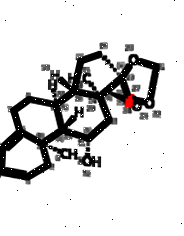 C[C@]12CC=CC=C1CC[C@@H]1[C@@H]2[C@@H](O)C[C@@]2(C)[C@H]1CC[C@@]21OCOC12COCO2